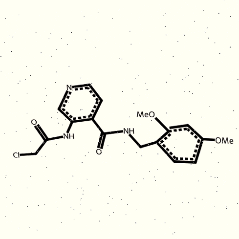 COc1ccc(CNC(=O)c2ccncc2NC(=O)CCl)c(OC)c1